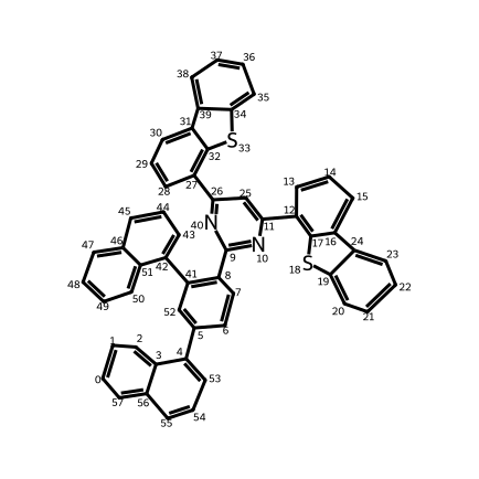 c1ccc2c(-c3ccc(-c4nc(-c5cccc6c5sc5ccccc56)cc(-c5cccc6c5sc5ccccc56)n4)c(-c4cccc5ccccc45)c3)cccc2c1